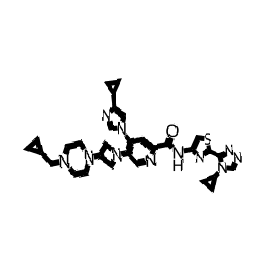 O=C(Nc1csc(-c2nncn2C2CC2)n1)c1cc(-n2cnc(C3CC3)c2)c(N2CC(N3CCN(CC4CC4)CC3)C2)cn1